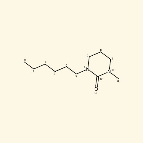 CCCCCCN1CCCN(C)C1=O